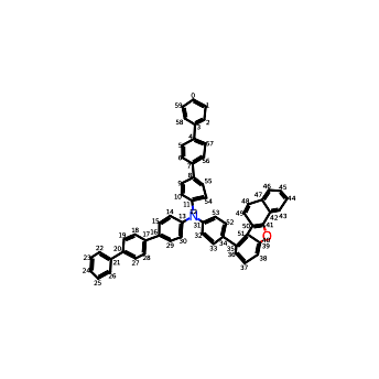 c1ccc(-c2ccc(-c3ccc(N(c4ccc(-c5ccc(-c6ccccc6)cc5)cc4)c4ccc(-c5cccc6oc7c8ccccc8ccc7c56)cc4)cc3)cc2)cc1